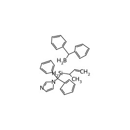 BC(c1ccccc1)c1ccccc1.C=CC(C)[SiH2]C(c1ccccc1)(c1ccccc1)n1ccnc1